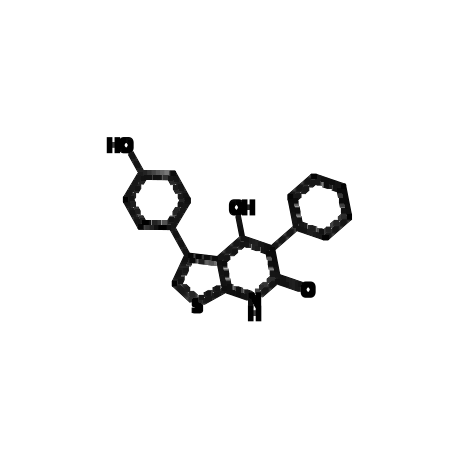 O=c1[nH]c2scc(-c3ccc(O)cc3)c2c(O)c1-c1ccccc1